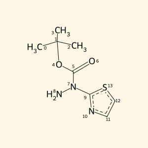 CC(C)(C)OC(=O)N(N)c1nccs1